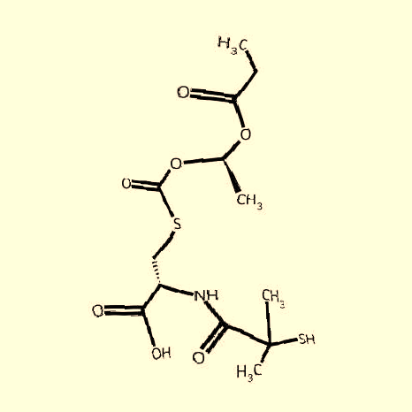 CCC(=O)O[C@@H](C)OC(=O)SC[C@H](NC(=O)C(C)(C)S)C(=O)O